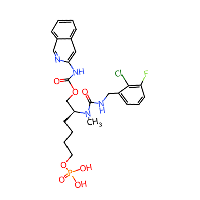 CN(C(=O)NCc1cccc(F)c1Cl)[C@@H](CCCCOP(=O)(O)O)COC(=O)Nc1cc2ccccc2cn1